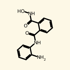 Nc1ccccc1NC(=O)c1ccccc1C(=O)NO